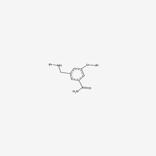 CC(C)NCc1cc(OC(C)C)cc(C(N)=O)c1